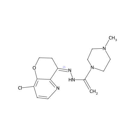 C=C(N/N=C1/CCOc2c(Cl)ccnc21)N1CCN(C)CC1